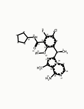 Cc1nc([C@H](C)c2cc(Cl)c(F)c(C(=O)NC3CCCC3)c2OC(C)C)n2ccnc(N)c12